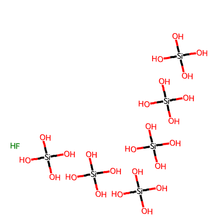 F.O[Si](O)(O)O.O[Si](O)(O)O.O[Si](O)(O)O.O[Si](O)(O)O.O[Si](O)(O)O.O[Si](O)(O)O